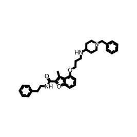 Cc1c(C(=O)NCCc2ccccc2)oc2cccc(OCCCNC3CCN(Cc4ccccc4)CC3)c12